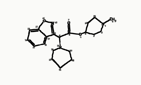 CN1CCC(OC(=O)C(c2noc3ccccc23)N2CCCCC2)CC1